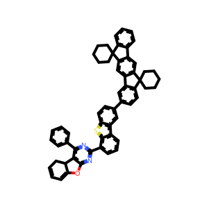 C1=CCC2C(=C1)Oc1nc(-c3cccc4c3sc3ccc(-c5ccc6c(c5)-c5cc7c(cc5C65CCCCC5)-c5ccccc5C75CCCCC5)cc34)nc(-c3ccccc3)c12